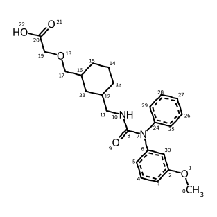 COc1cccc(N(C(=O)NCC2CCCC(COCC(=O)O)C2)c2ccccc2)c1